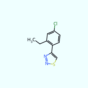 CCc1cc(Cl)ccc1-c1csnn1